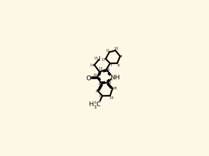 CC1C=c2c([nH]c(C3CCCCC3)c(CI)c2=O)=CC1